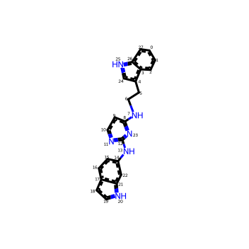 c1ccc2c(CCNc3ccnc(Nc4ccc5cc[nH]c5c4)n3)c[nH]c2c1